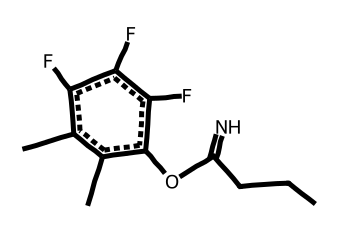 CCCC(=N)Oc1c(C)c(C)c(F)c(F)c1F